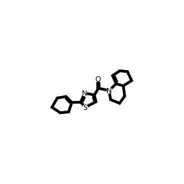 O=C(c1csc(C2=CCCCC2)n1)N1CCCC2CCCC=C21